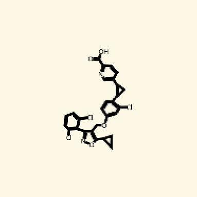 O=C(O)c1ccc(C2CC2c2ccc(OCc3c(-c4c(Cl)cccc4Cl)noc3C3CC3)cc2Cl)cn1